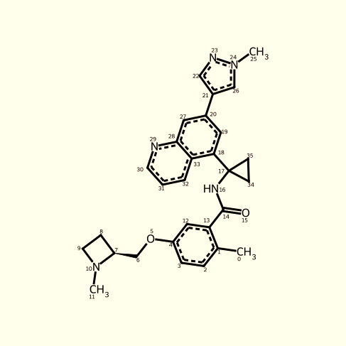 Cc1ccc(OC[C@@H]2CCN2C)cc1C(=O)NC1(c2cc(-c3cnn(C)c3)cc3ncccc23)CC1